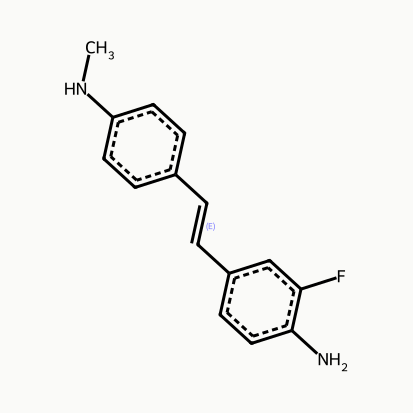 CNc1ccc(/C=C/c2ccc(N)c(F)c2)cc1